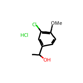 COc1ccc(C(C)O)cc1Cl.Cl